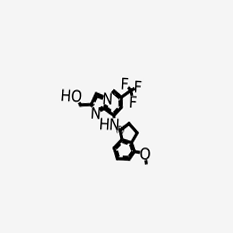 COc1cccc2c1CC[C@H]2Nc1cc(C(F)(F)F)cn2cc(CO)nc12